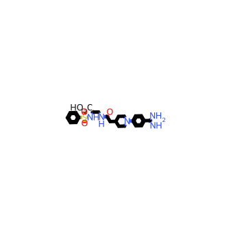 N=C(N)c1ccc(N2CCC(CC(=O)NCC(NS(=O)(=O)c3ccccc3)C(=O)O)CC2)cc1